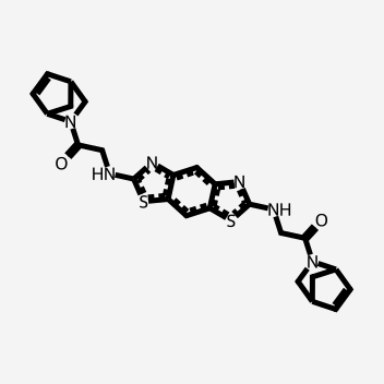 O=C(CNc1nc2cc3nc(NCC(=O)N4CC5C=CC4C5)sc3cc2s1)N1CC2C=CC1C2